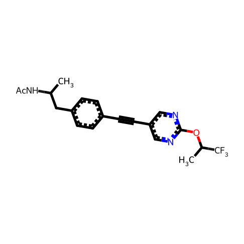 CC(=O)NC(C)Cc1ccc(C#Cc2cnc(OC(C)C(F)(F)F)nc2)cc1